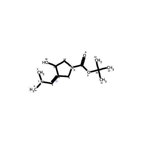 CN(C)/C=C1/CN(C(=O)OC(C)(C)C)CC1O